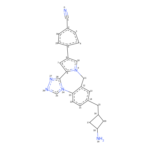 N#Cc1ccc(-c2cc3n(c2)Cc2cc(CC4CC(N)C4)ccc2-n2cnnc2-3)cc1